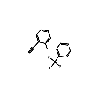 C#Cc1ccccc1I.FC(F)(F)c1ccccc1